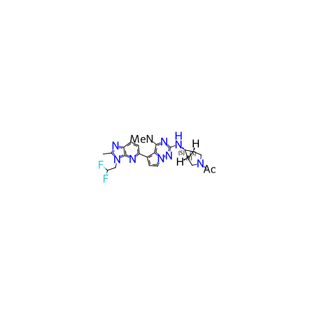 CNc1nc(N[C@H]2[C@@H]3CN(C(C)=O)C[C@@H]32)nn2ccc(-c3ccc4nc(C)n(CC(F)F)c4n3)c12